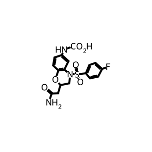 NC(=O)CC1CN(S(=O)(=O)c2ccc(F)cc2)c2cc(NC(=O)O)ccc2O1